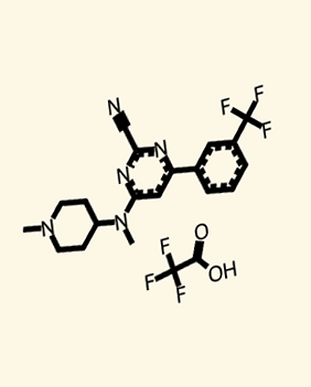 CN1CCC(N(C)c2cc(-c3cccc(C(F)(F)F)c3)nc(C#N)n2)CC1.O=C(O)C(F)(F)F